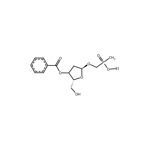 CCOP(C)(=O)CO[C@@H]1CC(OC(=O)c2ccccc2)[C@@H](CO)O1